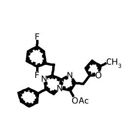 CC(=O)Oc1c(Cc2ccc(C)o2)nc2c(Cc3cc(F)ccc3F)nc(-c3ccccc3)cn12